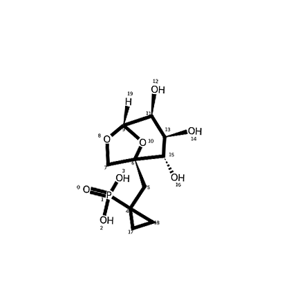 O=P(O)(O)C1(C[C@@]23CO[C@@H](O2)[C@@H](O)[C@@H](O)[C@@H]3O)CC1